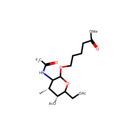 COC(=O)CCCCOC1OC(COC(C)=O)[C@H](OC(C)=O)[C@H](C)C1NC(=O)C(F)(F)F